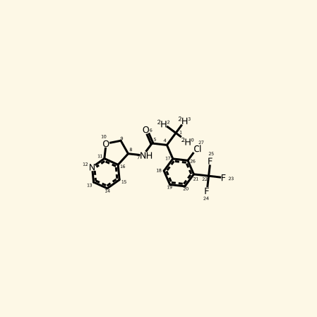 [2H]C([2H])([2H])C(C(=O)NC1COc2ncccc21)c1cccc(C(F)(F)F)c1Cl